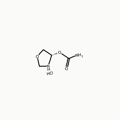 Cl.NC(=O)O[C@H]1COCN1